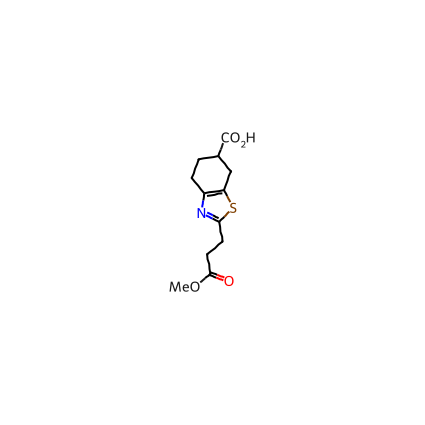 COC(=O)CCc1nc2c(s1)CC(C(=O)O)CC2